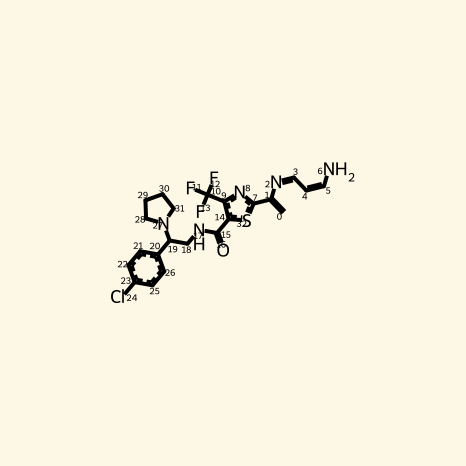 C=C(/N=C\C=C/N)c1nc(C(F)(F)F)c(C(=O)NCC(c2ccc(Cl)cc2)N2CCCC2)s1